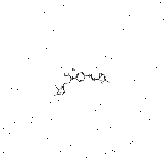 CCN(CCn1cc[n+](C)c1C)c1ccc(N=Nc2ncc(C)s2)cc1.[Br-]